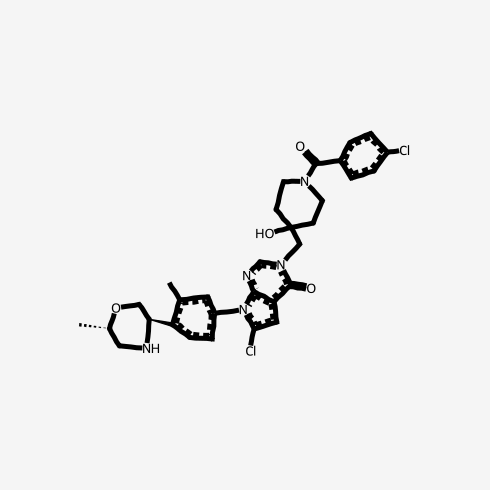 Cc1cc(-n2c(Cl)cc3c(=O)n(CC4(O)CCN(C(=O)c5ccc(Cl)cc5)CC4)cnc32)ccc1[C@@H]1CO[C@@H](C)CN1